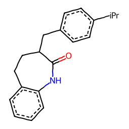 CC(C)c1ccc(CC2CCc3ccccc3NC2=O)cc1